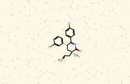 C=CC[C@@]1(C)C[C@H](c2cccc(Cl)c2)C(c2ccc(Cl)cc2)=NC1=O